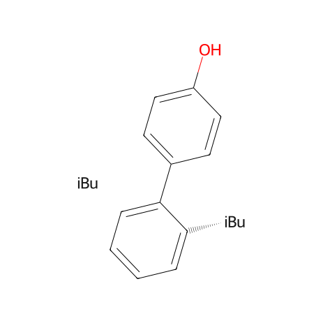 CC[C@@H](C)c1cccc([C@H](C)CC)c1-c1ccc(O)cc1